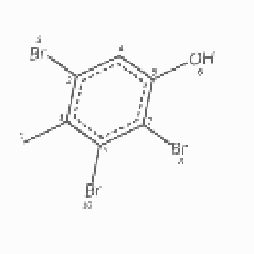 Cc1c(Br)cc(O)c(Br)c1Br